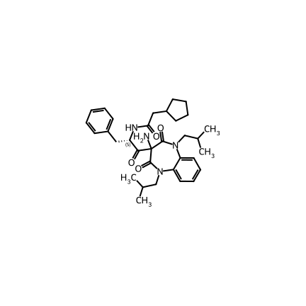 CC(C)CN1C(=O)C(N)(C(=O)[C@H](Cc2ccccc2)NC(=O)CC2CCCC2)C(=O)N(CC(C)C)c2ccccc21